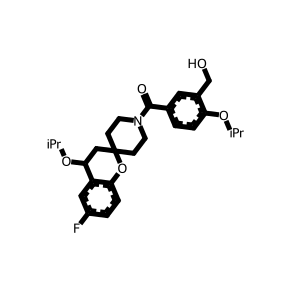 CC(C)Oc1ccc(C(=O)N2CCC3(CC2)CC(OC(C)C)c2cc(F)ccc2O3)cc1CO